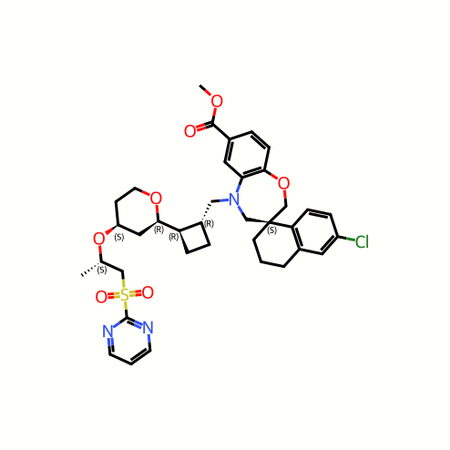 COC(=O)c1ccc2c(c1)N(C[C@@H]1CC[C@H]1[C@H]1C[C@@H](O[C@@H](C)CS(=O)(=O)c3ncccn3)CCO1)C[C@@]1(CCCc3cc(Cl)ccc31)CO2